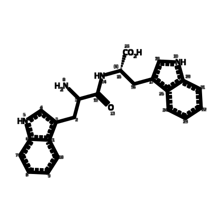 NC(Cc1c[nH]c2ccccc12)C(=O)N[C@@H](Cc1c[nH]c2ccccc12)C(=O)O